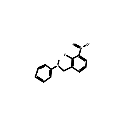 CN(Cc1cccc([N+](=O)[O-])c1F)c1ccccc1